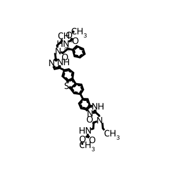 CCCN(Cc1nc2ccc(-c3ccc4c(c3)sc3cc(-c5cnc(CN(CCC)C(=O)[C@H](NC(=O)OC)c6ccccc6)[nH]5)ccc34)cc2[nH]1)C(=O)CNC(=O)OC